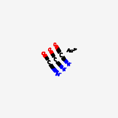 [Au+3].[N-]=C=O.[N-]=C=O.[N-]=C=O